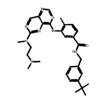 Cc1ccc(C(=O)NCc2cccc(C(C)(C)C)c2)cc1Nc1ncnc2cnc(N(C)CCN(C)C)nc12